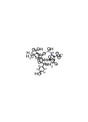 CC1(C)S[C@@H]2[C@H](NC(=O)[C@H](N)c3ccc(O)cc3)C(=O)N2[C@H]1C(=O)O.O=C([O-])[C@H]1/C(=C/CO)O[C@@H]2CC(=O)N21.[K+]